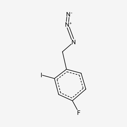 [N-]=[N+]=NCc1ccc(F)cc1I